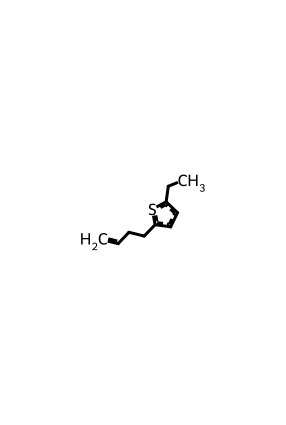 C=CCCc1ccc(CC)s1